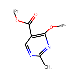 Cc1ncc(C(=O)OC(C)C)c(OC(C)C)n1